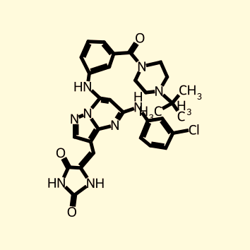 CC(C)(C)N1CCN(C(=O)c2cccc(Nc3cc(Nc4cccc(Cl)c4)nc4c(C=C5NC(=O)NC5=O)cnn34)c2)CC1